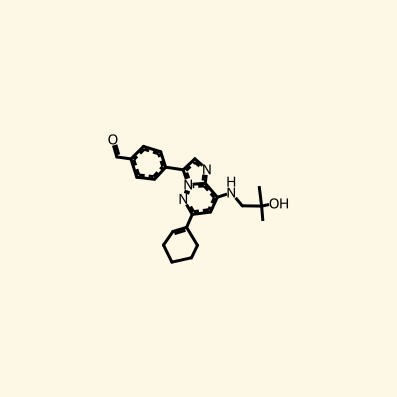 CC(C)(O)CNc1cc(C2=CCCCC2)nn2c(-c3ccc(C=O)cc3)cnc12